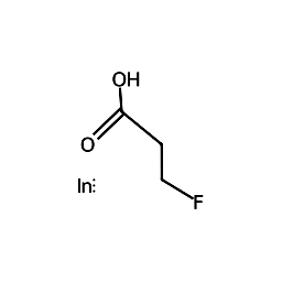 O=C(O)CCF.[In]